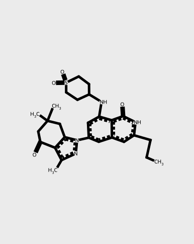 CCCc1cc2cc(-n3nc(C)c4c3CC(C)(C)CC4=O)cc(NC3CCS(=O)(=O)CC3)c2c(=O)[nH]1